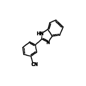 N#Cc1cccc(-c2nc3ccccc3[nH]2)c1